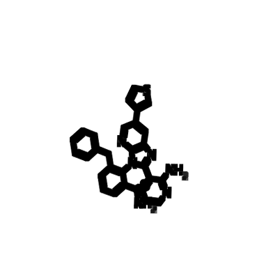 NC(=O)c1cccc(Cc2ccccc2)c1-n1c(-c2cccnc2N)nc2cc(-c3ccsc3)cnc21